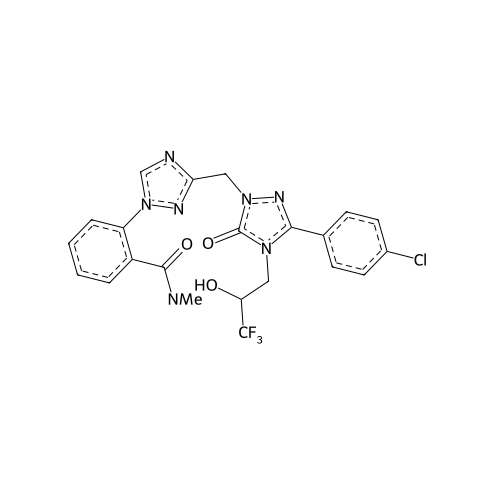 CNC(=O)c1ccccc1-n1cnc(Cn2nc(-c3ccc(Cl)cc3)n(CC(O)C(F)(F)F)c2=O)n1